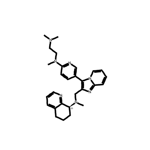 CN(C)CCN(C)c1ccc(-c2c(CN(C)[C@H]3CCCc4cccnc43)nc3ccccn23)cn1